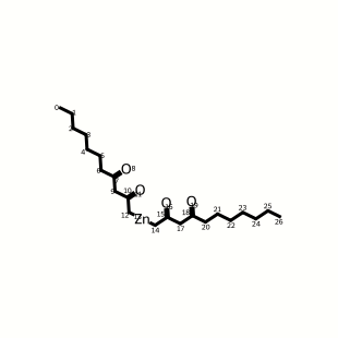 CCCCCCCC(=O)CC(=O)[CH2][Zn][CH2]C(=O)CC(=O)CCCCCCC